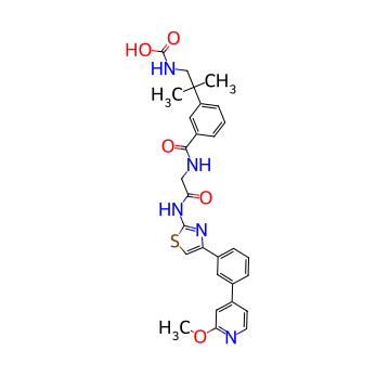 COc1cc(-c2cccc(-c3csc(NC(=O)CNC(=O)c4cccc(C(C)(C)CNC(=O)O)c4)n3)c2)ccn1